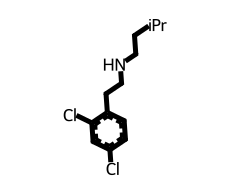 CC(C)CCNCCc1ccc(Cl)cc1Cl